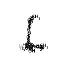 Cc1ccc(S(=O)(=O)OCCOCCOCCOCCOCCOCC(=O)NC(C(=O)N2C[C@H](O)C[C@H]2C(=O)NCc2ccc(-c3scnc3C)cc2)C(C)(C)C)cc1